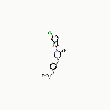 CCC[C@@H]1CN(Cc2cccc(CC(=O)OCC)c2)CCN1c1nc2ccc(Cl)cc2s1